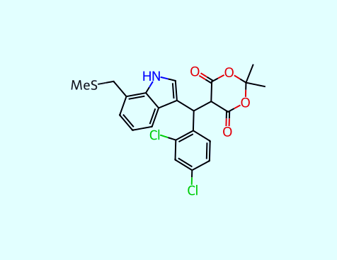 CSCc1cccc2c(C(c3ccc(Cl)cc3Cl)C3C(=O)OC(C)(C)OC3=O)c[nH]c12